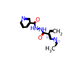 C=C/C(=C\N=C/C)C(=O)NNC(=O)c1cccnc1